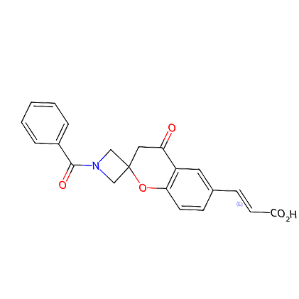 O=C(O)/C=C/c1ccc2c(c1)C(=O)CC1(CN(C(=O)c3ccccc3)C1)O2